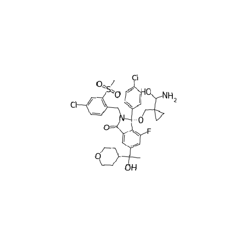 CC(O)(c1cc(F)c2c(c1)C(=O)N(Cc1ccc(Cl)cc1S(C)(=O)=O)[C@@]2(OCC1(C(N)O)CC1)c1ccc(Cl)cc1)C1CCOCC1